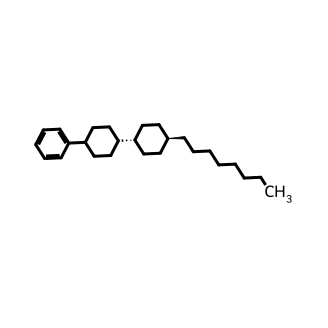 CCCCCCCC[C@H]1CC[C@H](C2CCC(c3ccccc3)CC2)CC1